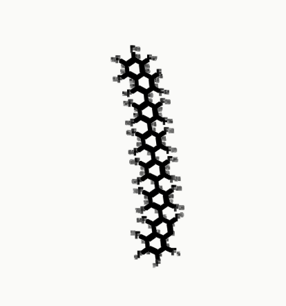 Fc1cc2c(F)c(F)c(F)c(F)c2c(F)c1-c1c(F)c(F)c(-c2c(F)c(F)c(-c3c(F)c(F)c(-c4c(F)c(F)c(-c5c(F)c(F)c6c(F)c(F)c(F)c(F)c6c5F)c(F)c4F)c(F)c3F)c(F)c2F)c(F)c1F